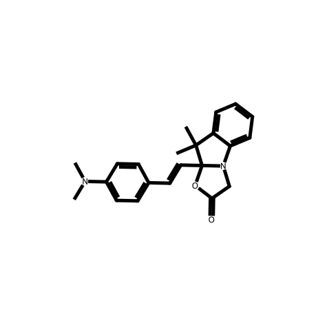 CN(C)c1ccc(C=CC23OC(=O)CN2c2ccccc2C3(C)C)cc1